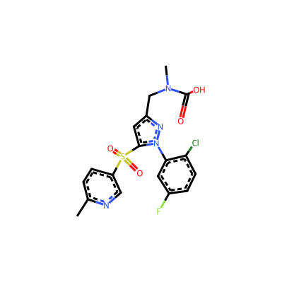 Cc1ccc(S(=O)(=O)c2cc(CN(C)C(=O)O)nn2-c2cc(F)ccc2Cl)cn1